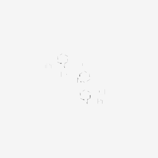 Cc1cc(CC(C)c2cccnc2C(C)C)cnc1C(C)Cc1cccc(C(C)C)n1